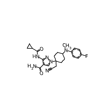 CN(c1ccc(F)cc1)C1CCC(CC#N)(n2cc(C(N)=O)c(NC(=O)C3CC3)n2)CC1